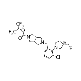 O=C(OC(C(F)(F)F)C(F)(F)F)N1CC2CN(Cc3cccc(Cl)c3N3CC[C@H](CF)C3)CC2C1